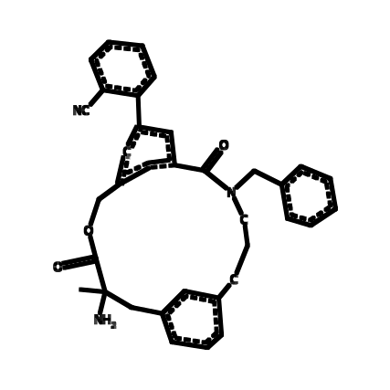 CC1(N)Cc2cccc(c2)CCCN(Cc2ccccc2)C(=O)c2cc(cc(-c3ccccc3C#N)c2)COC1=O